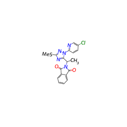 CSc1nc(C(C)N2C(=O)c3ccccc3C2=O)n(-c2ccc(Cl)cn2)n1